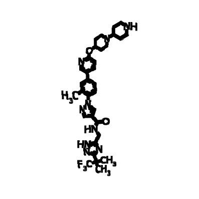 Cc1cc(-c2ccc(OC3CCN(C4CCNCC4)CC3)nc2)ccc1-n1cc(C(=O)NCc2nc(C(C)(C)C(F)(F)F)n[nH]2)cn1